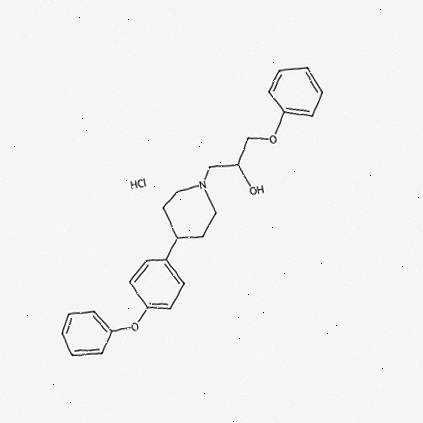 Cl.OC(COc1ccccc1)CN1CCC(c2ccc(Oc3ccccc3)cc2)CC1